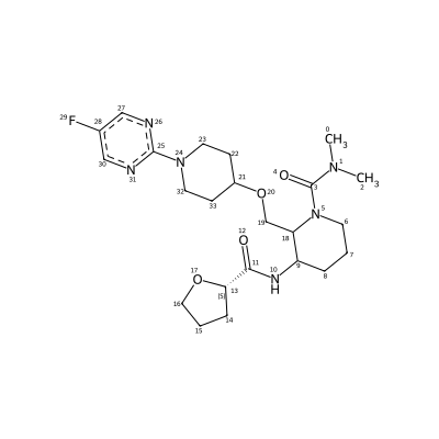 CN(C)C(=O)N1CCCC(NC(=O)[C@@H]2CCCO2)C1COC1CCN(c2ncc(F)cn2)CC1